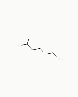 CC(O)CCOCN